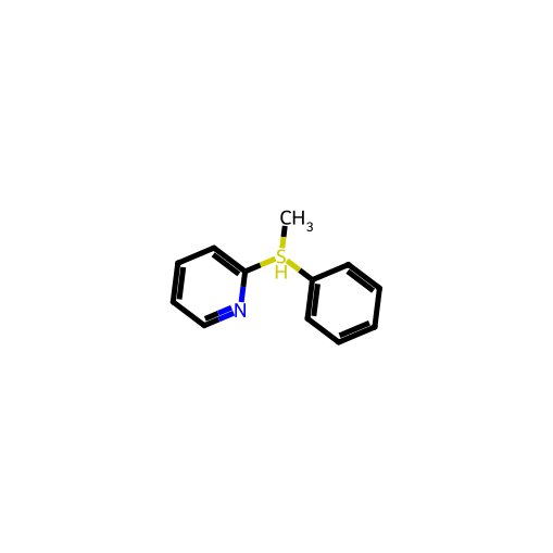 C[SH](c1ccccc1)c1ccccn1